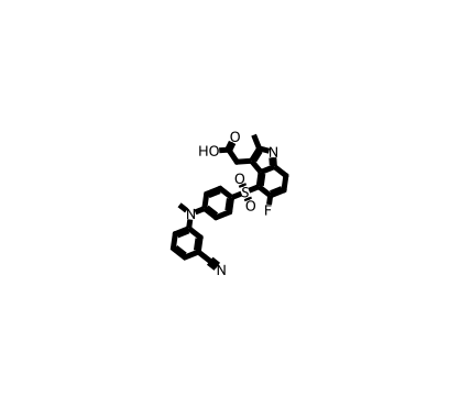 CC1=C(CC(=O)O)C2=C(S(=O)(=O)c3ccc(N(C)c4cccc(C#N)c4)cc3)C(F)=CCC2=N1